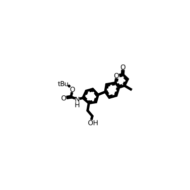 Cc1cc(=O)oc2cc(-c3ccc(NC(=O)OC(C)(C)C)c(CCO)c3)ccc12